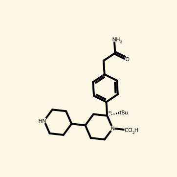 CC(C)(C)[C@@]1(c2ccc(CC(N)=O)cc2)CC(C2CCNCC2)CCN1C(=O)O